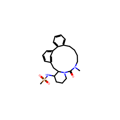 CN1CCCCc2ccccc2-c2cccc(c2)CC2C(NS(C)(=O)=O)CCCN2C1=O